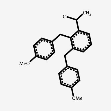 COc1ccc(Cc2cccc(C(C)Cl)c2Cc2ccc(OC)cc2)cc1